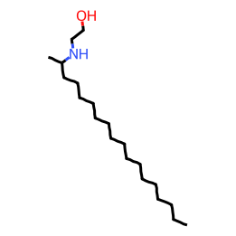 CCCCCCCCCCCCCCCCC(C)NCCO